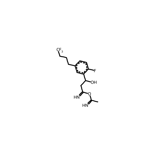 CC(=N)OC(=N)CC(O)c1cc(CCCC(F)(F)F)ccc1F